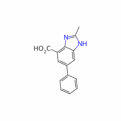 Cc1nc2c(C(=O)O)cc(-c3ccccc3)cc2[nH]1